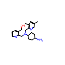 Cc1cnc(CN(Cc2ncccc2CO)C2CCC(N)CC2)c(C)c1